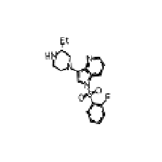 CC[C@@H]1CN(c2cn(S(=O)(=O)c3ccccc3F)c3cccnc23)CCN1